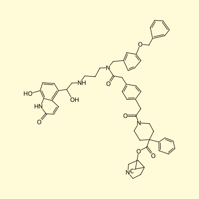 O=C(Cc1ccc(CC(=O)N(CCCNCC(O)c2ccc(O)c3[nH]c(=O)ccc23)Cc2cccc(OCc3ccccc3)c2)cc1)N1CCC(C(=O)OC2CN3CCC2CC3)(c2ccccc2)CC1